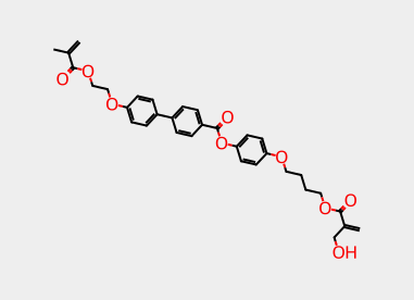 C=C(C)C(=O)OCCOc1ccc(-c2ccc(C(=O)Oc3ccc(OCCCCOC(=O)C(=C)CO)cc3)cc2)cc1